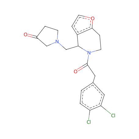 O=C1CCN(CC2c3ccoc3CCN2C(=O)Cc2ccc(Cl)c(Cl)c2)C1